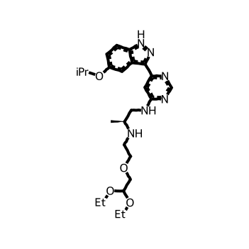 CCOC(COCCN[C@@H](C)CNc1cc(-c2n[nH]c3ccc(OC(C)C)cc23)ncn1)OCC